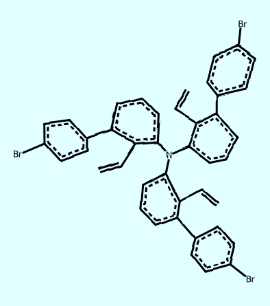 C=Cc1c(-c2ccc(Br)cc2)cccc1N(c1cccc(-c2ccc(Br)cc2)c1C=C)c1cccc(-c2ccc(Br)cc2)c1C=C